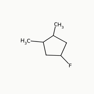 CC1CC(F)CC1C